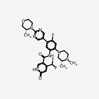 C[C@@H]1CN(c2cc(F)c(-c3cnc(N4CCOC[C@H]4C)nc3)cc2NC(=O)c2c[nH]c(=O)cc2C(F)F)CCN1C